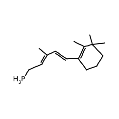 CC(C=CC1=C(C)C(C)(C)CCC1)=CCP